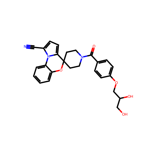 N#Cc1ccc2n1-c1ccccc1OC21CCN(C(=O)c2ccc(OCC(O)CO)cc2)CC1